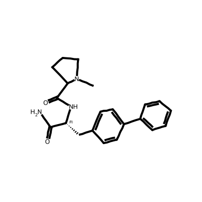 CN1CCCC1C(=O)N[C@H](Cc1ccc(-c2ccccc2)cc1)C(N)=O